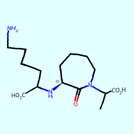 CC(C(=O)O)N1CCCC[C@H](NC(CCCCN)C(=O)O)C1=O